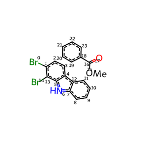 Brc1ccc2c([nH]c3ccccc32)c1Br.COC(=O)c1ccccc1